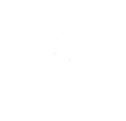 CC[n+]1c(-c2ccc(C)s2)sc2ccccc21.Cc1ccc(S(=O)(=O)[O-])cc1